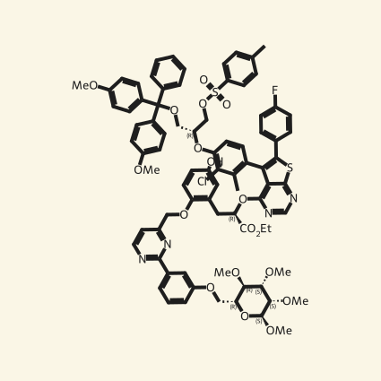 CCOC(=O)[C@@H](Cc1cc(O)ccc1OCc1ccnc(-c2cccc(OC[C@H]3O[C@H](OC)[C@@H](OC)[C@@H](OC)[C@@H]3OC)c2)n1)Oc1ncnc2sc(-c3ccc(F)cc3)c(-c3ccc(O[C@H](COC(c4ccccc4)(c4ccc(OC)cc4)c4ccc(OC)cc4)COS(=O)(=O)c4ccc(C)cc4)c(Cl)c3C)c12